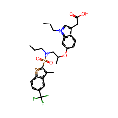 CCCN(CC(C)Oc1ccc2c(CC(=O)O)cn(CCC)c2c1)S(=O)(=O)c1sc2ccc(C(F)(F)F)cc2c1C